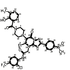 CCc1c(N2CCN(C(=O)c3ncnc(C)c3O)CC2)c(=O)n2nc(-c3ccc([S@+](C)[O-])cc3)nc2n1CC(=O)Nc1ccc(C(F)(F)F)cc1Cl